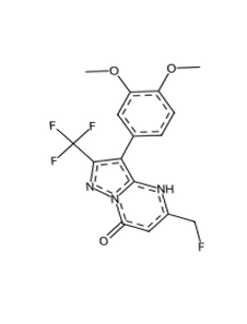 COc1ccc(-c2c(C(F)(F)F)nn3c(=O)cc(CF)[nH]c23)cc1OC